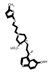 COc1ccc2nccc([C@@H](F)CC[C@@H]3CCN(CCCSc4ccc(C)s4)C[C@@H]3C(=O)O)c2c1